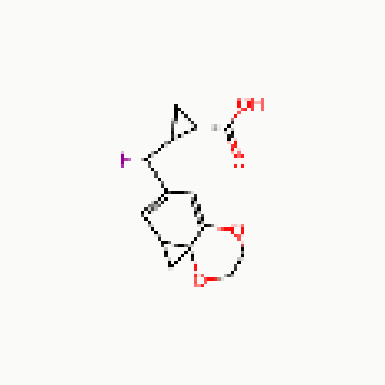 O=C(O)[C@H]1C[C@@H]1[C@@H](I)C1=CC2CC23OCCOC3=C1